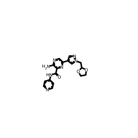 Nc1ncc(-c2cnn(CC3OCCO3)c2)nc1C(=O)Nc1ccncc1